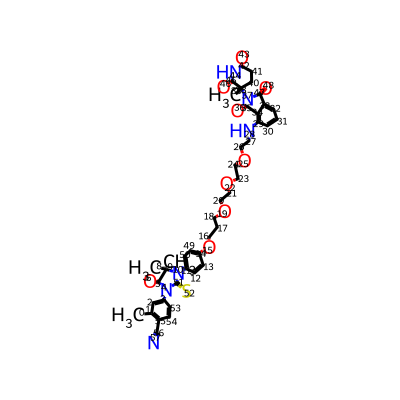 Cc1cc(N2C(=O)C(C)(C)N(c3ccc(OCCCOCCOCCOCCNc4cccc5c4C(=O)N(C4(C)CCC(=O)NC4=O)C5=O)cc3)C2=S)ccc1C#N